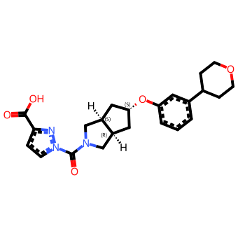 O=C(O)c1ccn(C(=O)N2C[C@H]3C[C@H](Oc4cccc(C5CCOCC5)c4)C[C@H]3C2)n1